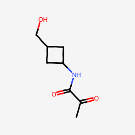 CC(=O)C(=O)NC1CC(CO)C1